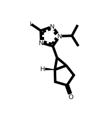 CC(C)n1nc(I)nc1C1C2CC(=O)C[C@@H]21